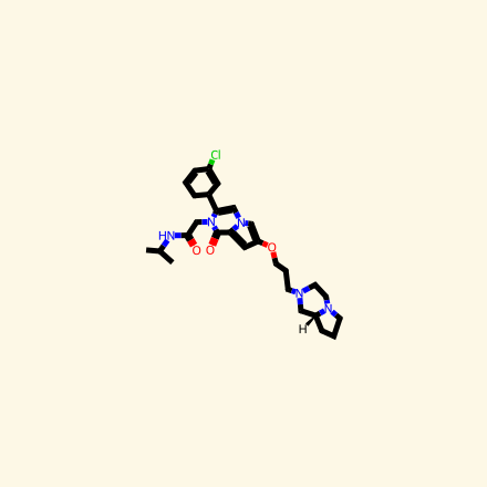 CC(C)NC(=O)Cn1c(C2C=C(Cl)C=CC2)cn2cc(OCCCN3CCN4CCC[C@@H]4C3)cc2c1=O